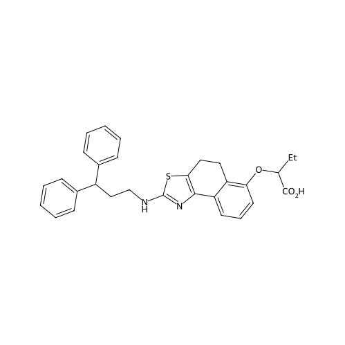 CCC(Oc1cccc2c1CCc1sc(NCCC(c3ccccc3)c3ccccc3)nc1-2)C(=O)O